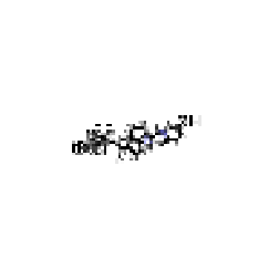 C=C1CC[C@H](O)C/C1=C/C=C1\CCC[C@]2(C)C([C@H](C)CCC(F)(F)S(=O)(=O)C(C)(C)C)=CC[C@@H]12